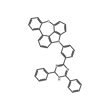 c1ccc(C2=NC(c3cccc(-n4c5cccc6oc7ccccc7c7cccc4c7c65)c3)=NC(c3ccccc3)N2)cc1